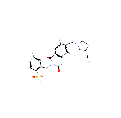 CCS(=O)(=O)c1ccc(Cl)cc1Cn1c(=O)[nH]c2c(Cl)c(CN3CC[C@@H](CNC)C3)c(C(F)(F)F)cc2c1=O